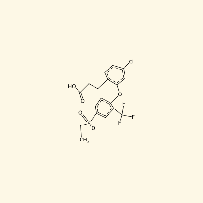 CCS(=O)(=O)c1ccc(Oc2cc(Cl)ccc2CCC(=O)O)c(C(F)(F)F)c1